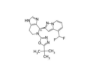 CC(C)(C)c1nnc(N2CCc3[nH]cnc3[C@H]2c2cc3c(C(F)F)cccn3n2)o1